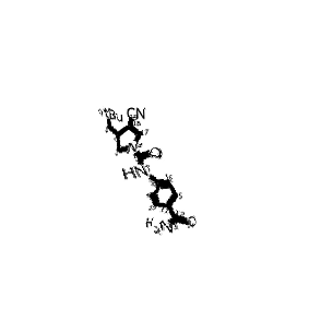 CC(C)(C)CC1CN(C(=O)Nc2ccc(C(N)=O)cc2)CC1C#N